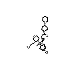 CCC[C@@H]1COC[C@H](C2(OC(=O)N3CCC(N4CCCCC4)CC3)CC2)N1S(=O)(=O)c1ccc(Cl)cc1